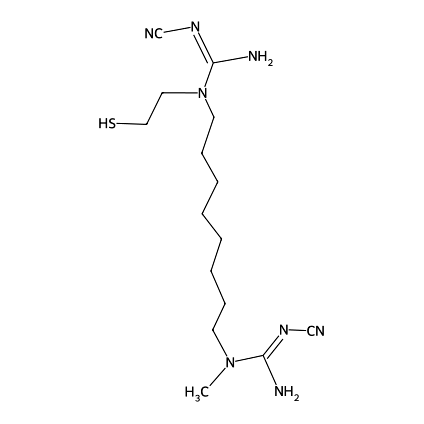 CN(CCCCCCCCN(CCS)C(N)=NC#N)C(N)=NC#N